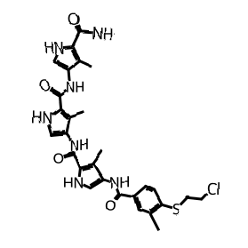 Cc1cc(C(=O)Nc2c[nH]c(C(=O)Nc3c[nH]c(C(=O)Nc4c[nH]c(C([NH])=O)c4C)c3C)c2C)ccc1SCCCl